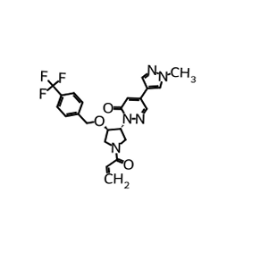 C=CC(=O)N1C[C@@H](n2ncc(-c3cnn(C)c3)cc2=O)[C@H](OCc2ccc(C(F)(F)F)cc2)C1